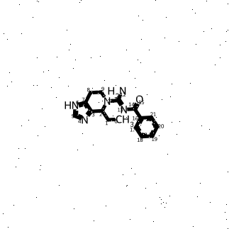 CCC1c2nc[nH]c2CCN1C(N)=NC(=O)c1ccccc1